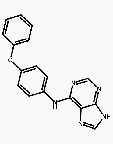 c1ccc(Oc2ccc(Nc3ncnc4[nH]cnc34)cc2)cc1